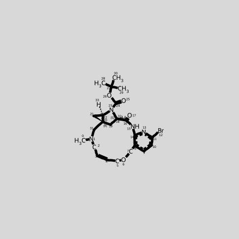 CN1CC=CCOCc2ccc(Br)nc2NC(=O)[C@@H]2C[C@]3(C[C@H]3N2C(=O)OC(C)(C)C)C1